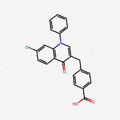 O=C(O)c1ccc(Cc2cn(-c3ccccc3)c3cc(Cl)ccc3c2=O)cc1